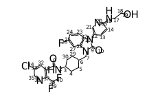 O=C(NC1CCC(Cn2c(=O)n(-c3ccc(NCCO)nc3)c3ccc(F)cc32)CC1)c1cc(Cl)cnc1C(F)F